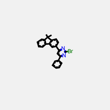 CC1(C)c2ccccc2-c2cc(-c3cc(-c4ccccc4)nc(Br)n3)ccc21